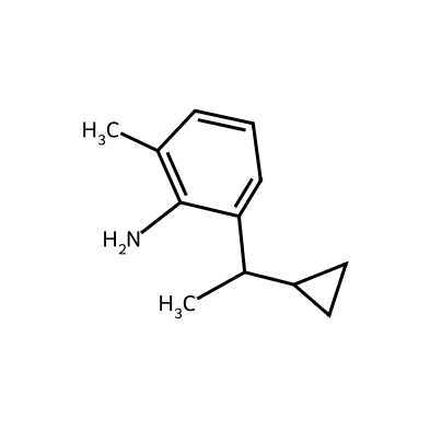 Cc1cccc(C(C)C2CC2)c1N